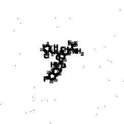 CN(C(=O)NCc1ccccc1Cl)[C@@H](CCC(N)C(F)F)COC(=O)Nc1cc2cc(F)ccc2cn1